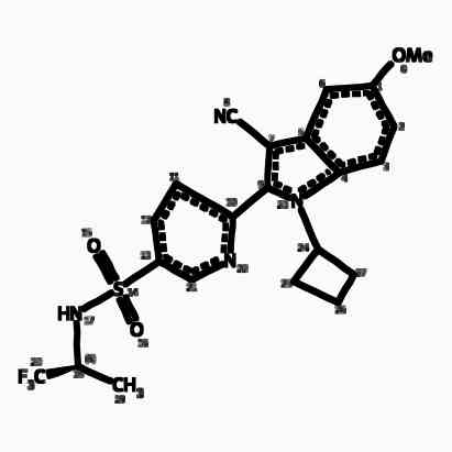 COc1ccc2c(c1)c(C#N)c(-c1ccc(S(=O)(=O)N[C@@H](C)C(F)(F)F)cn1)n2C1CCC1